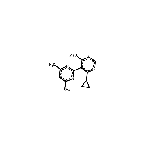 COc1ncnc(C2CC2)c1-c1nc(C)cc(SC)n1